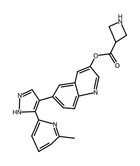 Cc1cccc(-c2[nH]ncc2-c2ccc3ncc(OC(=O)C4CNC4)cc3c2)n1